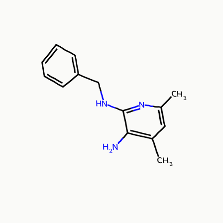 Cc1cc(C)c(N)c(NCc2ccccc2)n1